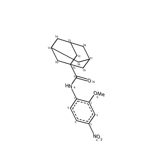 COc1cc([N+](=O)[O-])ccc1NC(=O)C12CC3CC(CC(C3)C1)C2